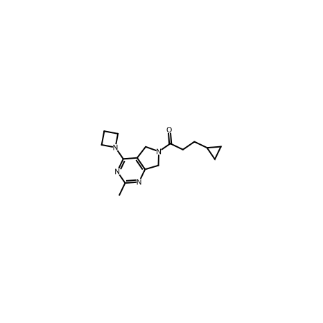 Cc1nc2c(c(N3CCC3)n1)CN(C(=O)CCC1CC1)C2